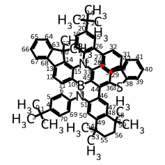 CC(C)(C)c1ccc(N2B3c4ccc5c(c4N(c4ccc(C(C)(C)C)cc4-c4ccccc4)c4cc6c(sc7ccccc76)c(c43)-c3cc4c(cc32)C(C)(C)CCC4(C)C)C(C)(C)c2ccccc2-5)cc1